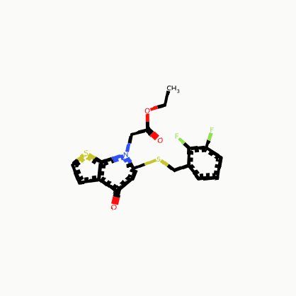 CCOC(=O)Cn1c(SCc2cccc(F)c2F)cc(=O)c2ccsc21